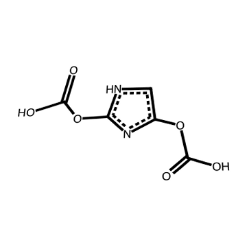 O=C(O)Oc1c[nH]c(OC(=O)O)n1